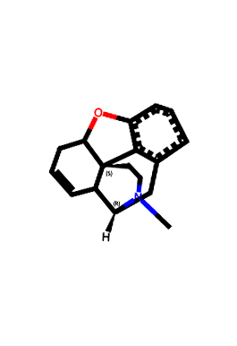 CN1CC[C@]23c4c5cccc4OC2CC=CC3[C@H]1C5